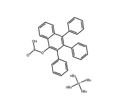 CCCC[N+](CCCC)(CCCC)CCCC.[O-]B(O)Oc1c(-c2ccccc2)c(-c2ccccc2)c(-c2ccccc2)c2ccccc12